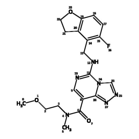 COCCN(C)C(=O)c1cnc(NCc2c(F)ccc3c2CCO3)n2cnnc12